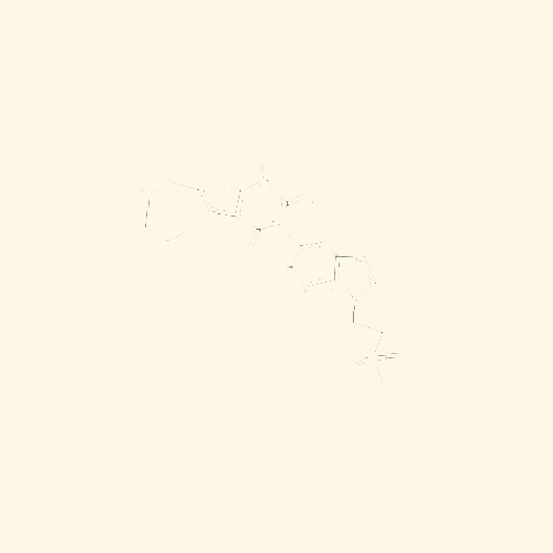 CS(=O)(=O)CCn1ccc2cc(-n3c(=O)[nH]c4sc5c(c4c3=O)CCCCC5)ccc21